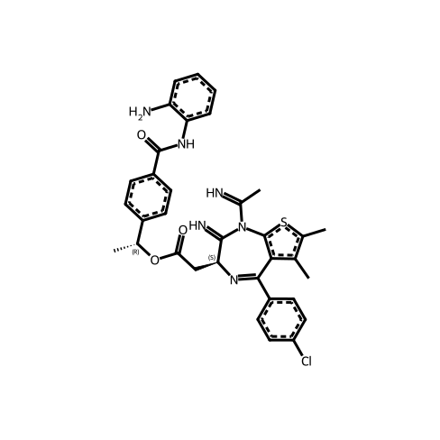 CC(=N)N1C(=N)[C@H](CC(=O)O[C@H](C)c2ccc(C(=O)Nc3ccccc3N)cc2)N=C(c2ccc(Cl)cc2)c2c1sc(C)c2C